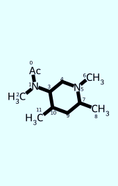 CC(=O)N(C)C1CN(C)C(C)CC1C